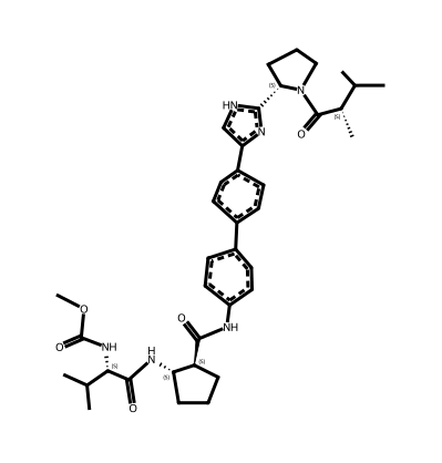 COC(=O)N[C@H](C(=O)N[C@H]1CCC[C@@H]1C(=O)Nc1ccc(-c2ccc(-c3c[nH]c([C@@H]4CCCN4C(=O)[C@@H](C)C(C)C)n3)cc2)cc1)C(C)C